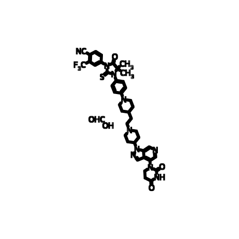 CC1(C)C(=O)N(c2ccc(C#N)c(C(F)(F)F)c2)C(=S)N1c1ccc(N2CCC(CCN3CCC(n4ncc5c(N6CCC(=O)NC6=O)cncc54)CC3)CC2)cc1.O=CO